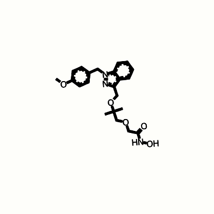 COc1ccc(Cn2nc(COC(C)(C)COCC(=O)NO)c3ccccc32)cc1